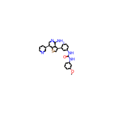 COc1cccc(NC(=O)Nc2cccc(-c3csc4c(-c5cccnc5)cnc(N)c34)c2)c1